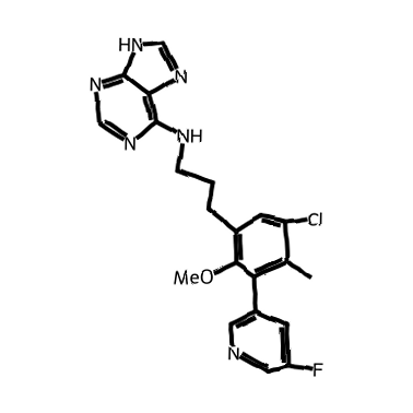 COc1c(CCCNc2ncnc3[nH]cnc23)cc(Cl)c(C)c1-c1cncc(F)c1